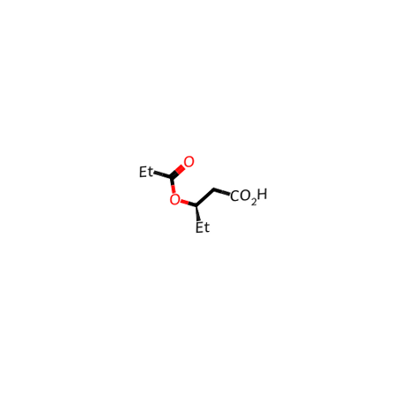 CCC(=O)O[C@H](CC)CC(=O)O